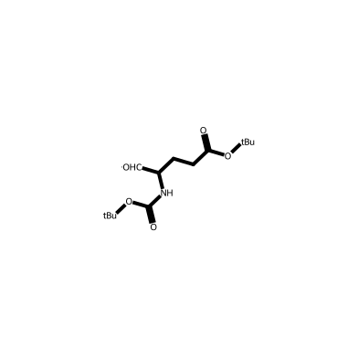 CC(C)(C)OC(=O)CCC([C]=O)NC(=O)OC(C)(C)C